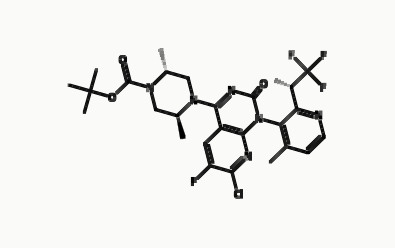 Cc1ccnc([C@H](C)C(F)(F)F)c1-n1c(=O)nc(N2C[C@@H](C)N(C(=O)OC(C)(C)C)C[C@@H]2C)c2cc(F)c(Cl)nc21